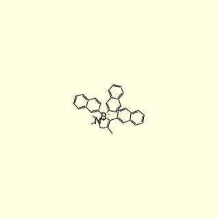 CC1=C(c2ccc3ccccc3c2)[B-](c2ccc3ccccc3c2)(c2ccc3ccccc3c2)[N+](C)(C)C1